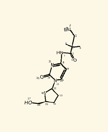 CC(C)(C)CC(C)(C)C(=O)Nc1ccn(C2CC[C@@H](CO)S2)c(=O)n1